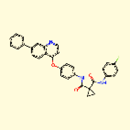 O=C(Nc1ccc(F)cc1)C1(C(=O)Nc2ccc(Oc3ccnc4cc(-c5ccccc5)ccc34)cc2)CC1